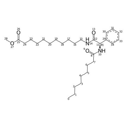 CCCCCCCCC(=O)N[C@@H](C(=O)NCCCCCCCCCCC(=O)OC)c1ccccc1